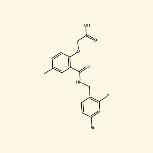 Cc1ccc(OCC(=O)O)c(C(=O)NCc2ccc(Br)cc2F)c1